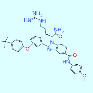 COc1ccc(NC(=O)c2ccc3c(c2)nc(-c2cccc(Oc4ccc(C(C)(C)C)cc4)c2)n3[C@@H](CCCNC(=N)N)C(N)=O)cc1